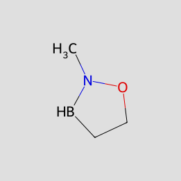 CN1BCCO1